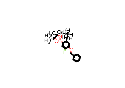 [2H]C([2H])([2H])C([2H])([2H])c1cc(OCc2ccccc2)c(F)cc1B1OC(C)(C)C(C)(C)O1